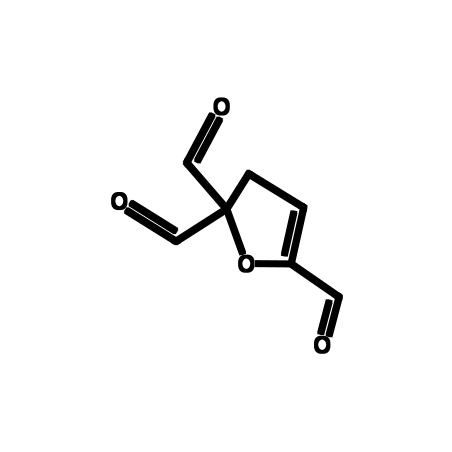 O=CC1=CCC(C=O)(C=O)O1